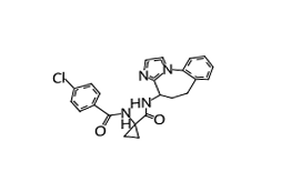 O=C(NC1(C(=O)NC2CCc3ccccc3-n3ccnc32)CC1)c1ccc(Cl)cc1